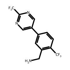 NCc1cc(-c2cnc(C(F)(F)F)nc2)ccc1C(F)(F)F